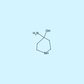 NC1(O)CCNCC1